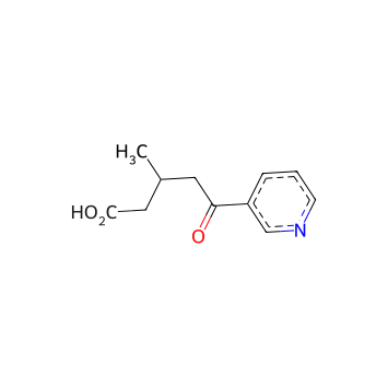 CC(CC(=O)O)CC(=O)c1cccnc1